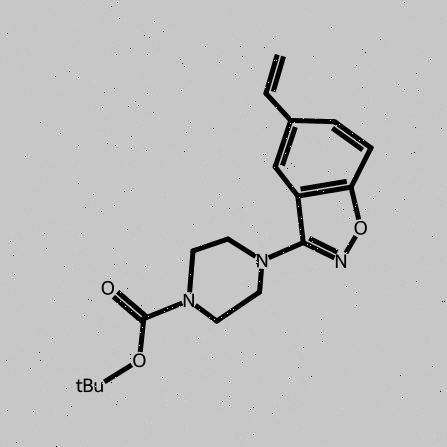 C=Cc1ccc2onc(N3CCN(C(=O)OC(C)(C)C)CC3)c2c1